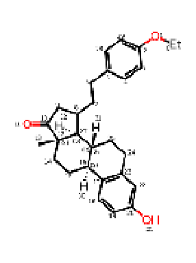 CCOc1ccc(CCC2CC(=O)[C@@]3(C)CC[C@@H]4c5ccc(O)cc5CC[C@H]4[C@H]23)cc1